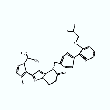 CC(C)n1ncc(Cl)c1-c1cc2n(n1)CCC(=O)N2Cc1ccc(-c2ncccc2OCC(F)F)cc1